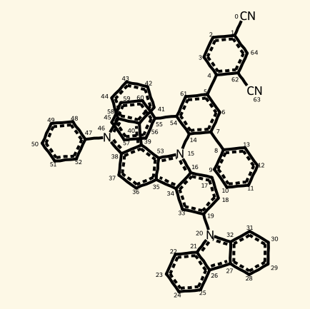 N#Cc1ccc(-c2cc(-c3ccccc3)c(-n3c4ccc(-n5c6ccccc6c6ccccc65)cc4c4ccc5c(c6ccccc6n5-c5ccccc5)c43)c(-c3ccccc3)c2)c(C#N)c1